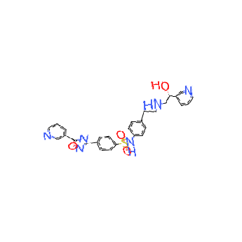 O=S(=O)(Nc1ccc(CCNCC(O)c2cccnc2)cc1)c1ccc(-c2noc(-c3cccnc3)n2)cc1